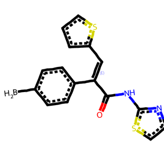 Bc1ccc(/C(=C\c2cccs2)C(=O)Nc2nccs2)cc1